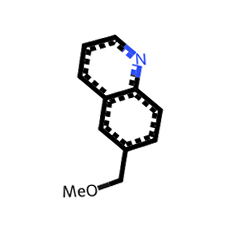 COCc1ccc2ncccc2c1